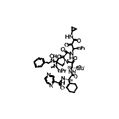 CCCC(NC(=O)[C@@H]1CC(N(C)CCC)(N(C=O)Cc2ccccc2)CN1C(=O)[C@@H](NC(=O)[C@@H](NC(=O)c1cnccn1)C1CCCCC1)C(C)(C)C)C(=O)C(=O)NC1CC1